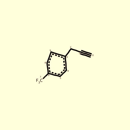 C#CCc1ccc(C(F)(F)F)cc1